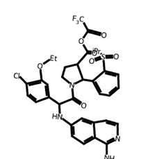 CCOc1cc(C(Nc2ccc3c(N)nccc3c2)C(=O)N2CCC(C(=O)OC(=O)C(F)(F)F)C2c2ccccc2S(=O)(=O)C(C)C)ccc1Cl